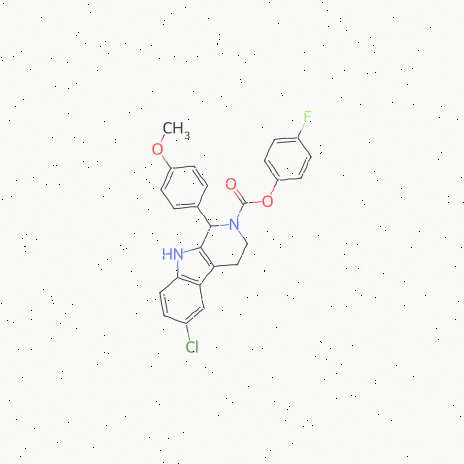 COc1ccc(C2c3[nH]c4ccc(Cl)cc4c3CCN2C(=O)Oc2ccc(F)cc2)cc1